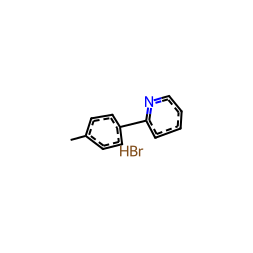 Br.Cc1ccc(-c2ccccn2)cc1